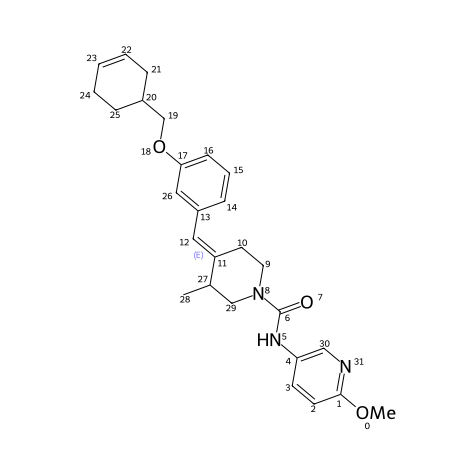 COc1ccc(NC(=O)N2CC/C(=C\c3cccc(OCC4CC=CCC4)c3)C(C)C2)cn1